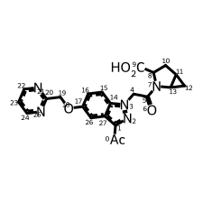 CC(=O)c1nn(CC(=O)N2C(C(=O)O)CC3CC32)c2ccc(OCc3ncccn3)cc12